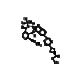 [2H]C([2H])([2H])N1C(=O)c2cccc(C#CC)c2[C@H]2C[C@@H]1c1nc3ccc(-c4cnc(C5CN(C(=O)OC(C)(C)C)C5)nc4)cc3n12